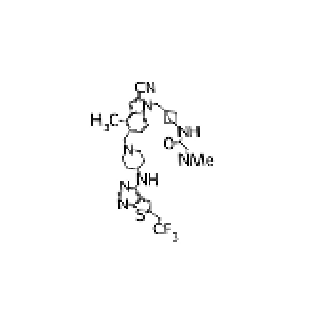 CNCC(=O)NC12CC(Cn3c(C#N)cc4c(C)c(CN5CCC(Nc6ncnc7sc(CC(F)(F)F)cc67)CC5)ccc43)(C1)C2